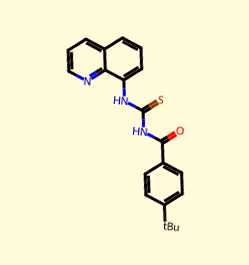 CC(C)(C)c1ccc(C(=O)NC(=S)Nc2cccc3cccnc23)cc1